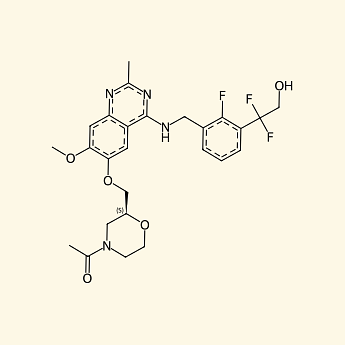 COc1cc2nc(C)nc(NCc3cccc(C(F)(F)CO)c3F)c2cc1OC[C@@H]1CN(C(C)=O)CCO1